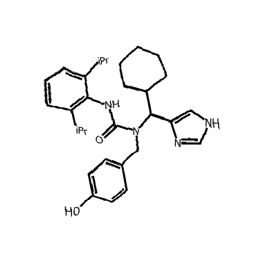 CC(C)c1cccc(C(C)C)c1NC(=O)N(Cc1ccc(O)cc1)C(c1c[nH]cn1)C1CCCCC1